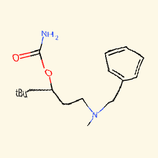 CN(CCC(OC(N)=O)C(C)(C)C)Cc1ccccc1